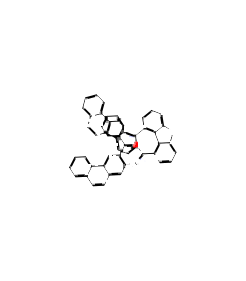 N/N=C(\N=C(/c1ccc2ccc3ccccc3c2c1)C1C=CC=CC1)c1cccc2oc3cccc(-c4cccc5c4sc4c6ccccc6ccc54)c3c12